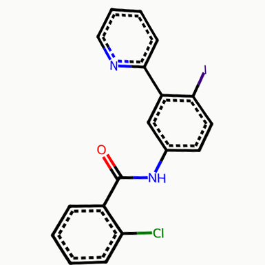 O=C(Nc1ccc(I)c(-c2ccccn2)c1)c1ccccc1Cl